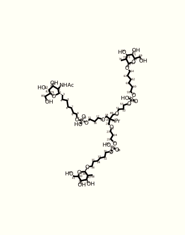 CC(=O)NC1[C@H](CCCCCCCOP(=O)(O)OCCCOCC(COCCCOP(=O)(O)OCCCCCCO[C@@H]2OC(CO)[C@H](O)[C@H](O)C2C)(COCCCOP(=O)(O)OCCCCCCO[C@@H]2OC(CO)[C@H](O)[C@H](O)C2C)C(C)C)OC(CO)[C@H](O)[C@@H]1O